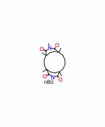 CCCCN1C(=O)C2(C)CCCCC3(C)CCC(C)(CCC(C)(CC2)C1=O)C(=O)N(C)C3=O